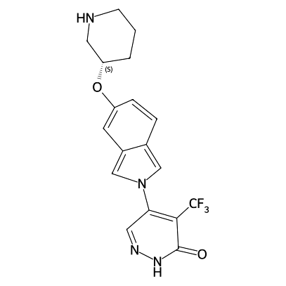 O=c1[nH]ncc(-n2cc3ccc(O[C@H]4CCCNC4)cc3c2)c1C(F)(F)F